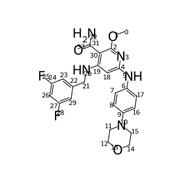 COc1nc(Nc2ccc(N3CCOCC3)cc2)cc(NCc2cc(F)cc(F)c2)c1C(N)=O